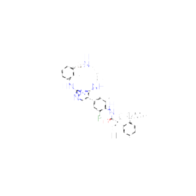 COc1ccccc1C(C)(C)C(=O)Nc1ccc(-c2cnc3nc2NCCCNSc2cccc(c2)N3)cc1F